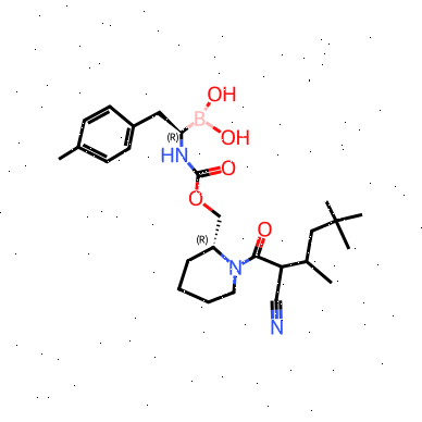 Cc1ccc(C[C@H](NC(=O)OC[C@H]2CCCCN2C(=O)C(C#N)C(C)CC(C)(C)C)B(O)O)cc1